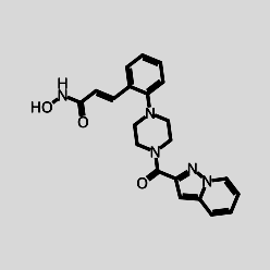 O=C(C=Cc1ccccc1N1CCN(C(=O)c2cc3ccccn3n2)CC1)NO